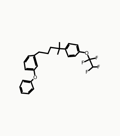 CC(C)(CCCc1cccc(Oc2ccccc2)c1)c1ccc(OC(F)(F)C(F)F)cc1